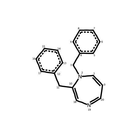 C1=CN(Cc2ccccc2)C(Cc2ccccc2)=CN=C1